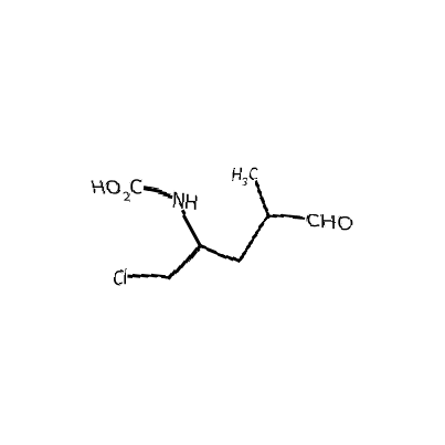 CC(C=O)CC(CCl)NC(=O)O